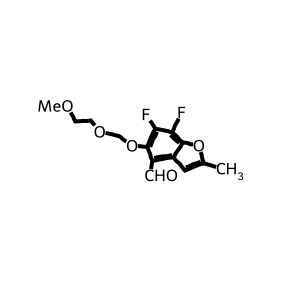 COCCOCOc1c(F)c(F)c2oc(C)cc2c1C=O